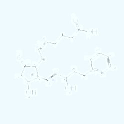 O=C(O)CCC/C=C\CC1C(=O)CC(O)[C@@H]1/C=C/C(O)CCc1ccccc1